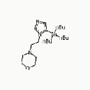 CCC[CH2][Sn]([CH2]CCC)([CH2]CCC)[c]1cncn1CCN1CCOCC1